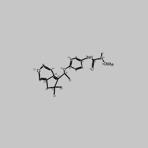 CON(C)C(=O)Nc1ccc(OC(C)C2=C3C=COC=C3CC2(C)C)nc1